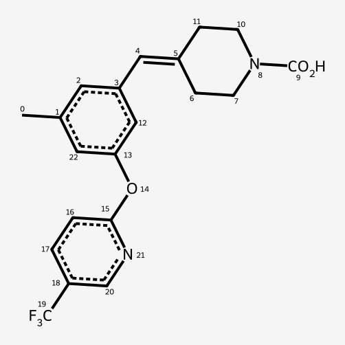 Cc1cc(C=C2CCN(C(=O)O)CC2)cc(Oc2ccc(C(F)(F)F)cn2)c1